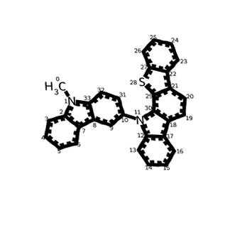 Cn1c2ccccc2c2cc(-n3c4ccccc4c4ccc5c6ccccc6sc5c43)ccc21